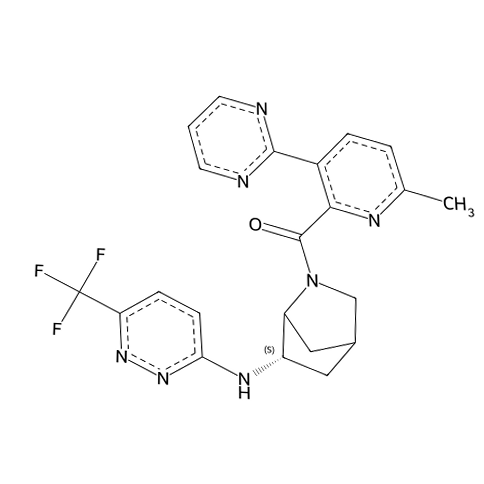 Cc1ccc(-c2ncccn2)c(C(=O)N2CC3CC2[C@@H](Nc2ccc(C(F)(F)F)nn2)C3)n1